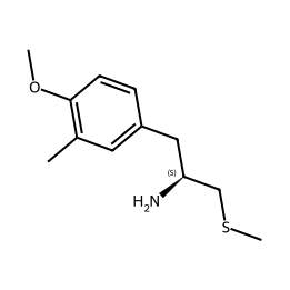 COc1ccc(C[C@H](N)CSC)cc1C